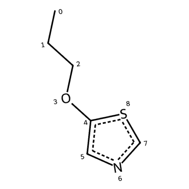 CCCOc1cncs1